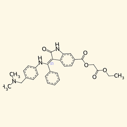 CCOC(=O)COC(=O)c1ccc2c(c1)NC(=O)/C2=C(\Nc1ccc(CN(C)C)cc1)c1ccccc1